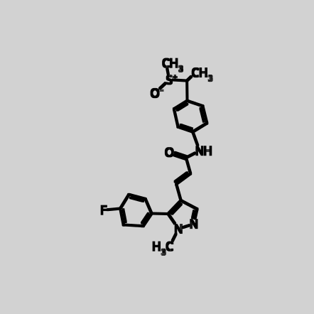 CC(c1ccc(NC(=O)C=Cc2cnn(C)c2-c2ccc(F)cc2)cc1)[S+](C)[O-]